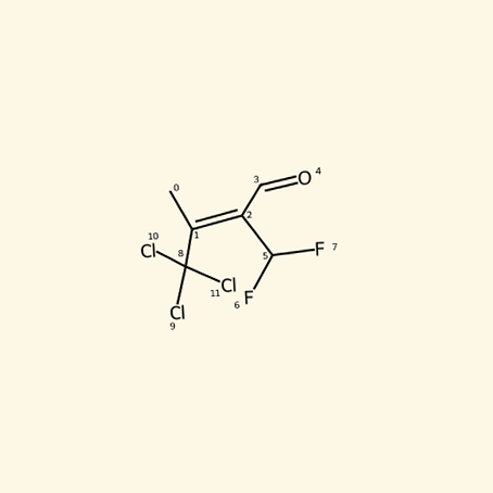 C/C(=C(\C=O)C(F)F)C(Cl)(Cl)Cl